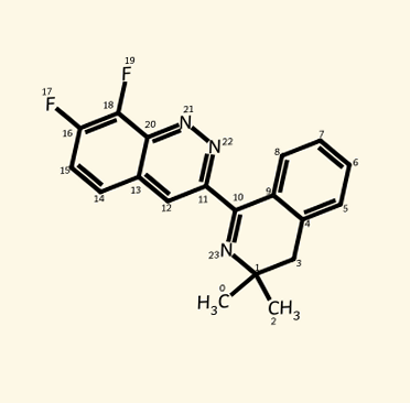 CC1(C)Cc2ccccc2C(c2cc3ccc(F)c(F)c3nn2)=N1